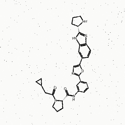 O=C(Nc1cccc(-c2ncc(-c3ccc4nc([C@@H]5CCCN5)[nH]c4c3)o2)c1)[C@@H]1CCCN1C(=O)CC1CC1